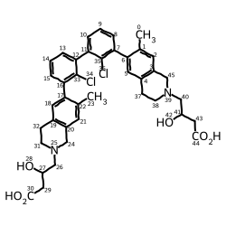 Cc1cc2c(cc1-c1cccc(-c3cccc(-c4cc5c(cc4C)CN(CC(O)CC(=O)O)CC5)c3Cl)c1Cl)CCN(CC(O)CC(=O)O)C2